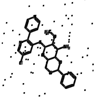 COC1C(Sc2cc(Cl)cnc2-c2ccncc2)OC2COC(c3ccccc3)OC2C1N